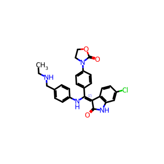 CCNCc1ccc(N/C(=C2\C(=O)Nc3cc(Cl)ccc32)c2ccc(N3CCOC3=O)cc2)cc1